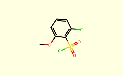 COc1cccc(Cl)c1S(=O)(=O)Cl